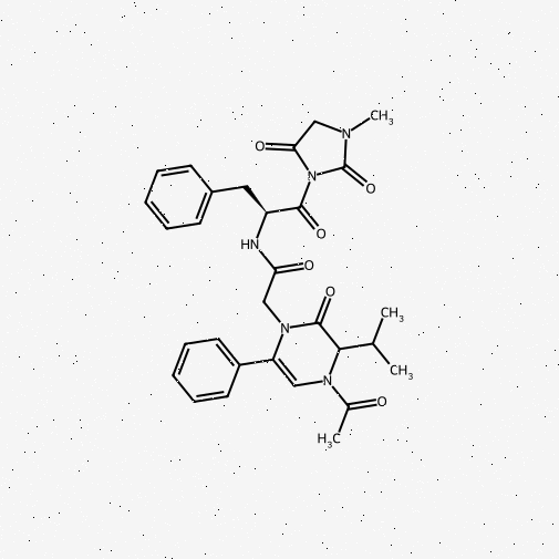 CC(=O)N1C=C(c2ccccc2)N(CC(=O)N[C@@H](Cc2ccccc2)C(=O)N2C(=O)CN(C)C2=O)C(=O)C1C(C)C